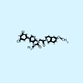 COc1ccc2c(c1)CCN(C(=O)Cn1c(=O)n(C)c3cc(-c4cc(Cl)cc(Cl)c4)cnc31)C2